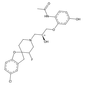 CC(=O)Nc1ccc(O)cc1OC[C@@H](O)CN1CCC2(Cc3cc(Cl)ccc3O2)C(F)C1